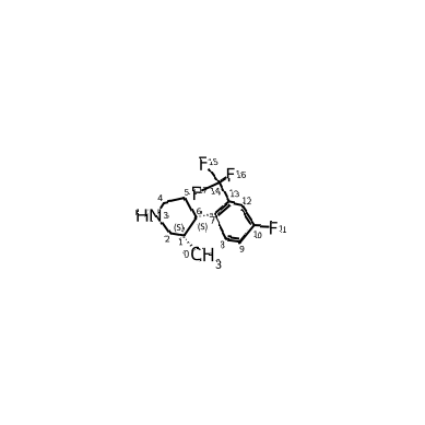 C[C@@H]1CNCC[C@@H]1c1ccc(F)cc1C(F)(F)F